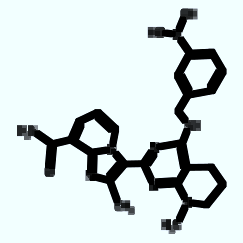 Cc1nc2c(C(N)=O)cccn2c1-c1nc(NCc2cccc(B(O)O)c2)c2c(n1)N(C)CCC2